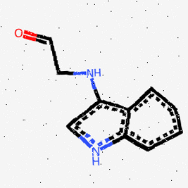 O=CCNc1c[nH]c2ccccc12